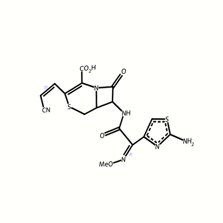 CO/N=C(\C(=O)NC1C(=O)N2C(C(=O)O)=C(/C=C\C#N)SCC12)c1csc(N)n1